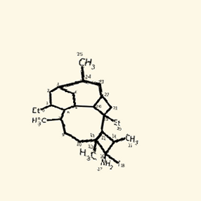 CCC1CC2CC3C1C(C)CCC1(C)C(C(C)C1(N)I)C1(CC)CC(CC2C)C31